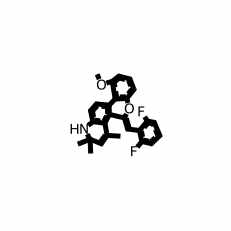 COc1cccc2c1-c1ccc3c(c1C(=Cc1c(F)cccc1F)O2)C(C)=CC(C)(C)N3